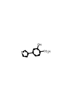 O=C(O)c1ccc(-c2ccsc2)cc1O